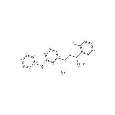 Cc1ccccc1C(CCc1cccc(Oc2ccccc2)c1)C(=O)[O-].[Na+]